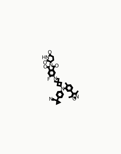 Cc1ccc(-c2c(C)noc2C)cc1N(c1ccc(C2(C#N)CC2)cc1)C1CC2(C1)CN(c1cc3c(cc1F)C(=O)N(C1CCC(=O)NC1=O)C3=O)C2